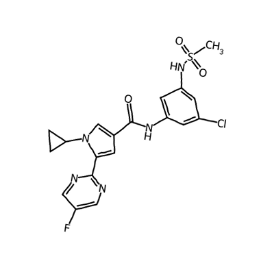 CS(=O)(=O)Nc1cc(Cl)cc(NC(=O)c2cc(-c3ncc(F)cn3)n(C3CC3)c2)c1